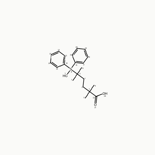 CC(C)(CCC(C)(C)[Si](O)(c1ccccc1)c1ccccc1)C(=O)O